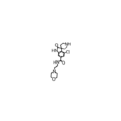 O=C(NCCN1CCOCC1)c1cc(Cl)c2c(c1)NC(=O)C21CCNCC1